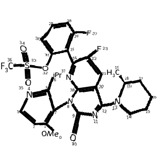 COc1ccnc(C(C)C)c1-n1c(=O)nc(N2CCCC[C@@H]2C)c2cc(F)c(-c3c(F)cccc3OS(=O)(=O)C(F)(F)F)nc21